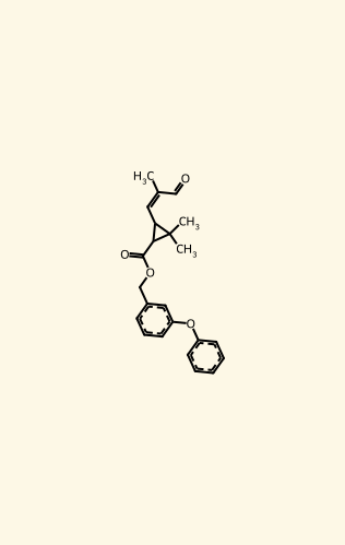 CC(C=O)=CC1C(C(=O)OCc2cccc(Oc3ccccc3)c2)C1(C)C